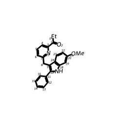 CCC(=O)c1cccc(Cc2c(-c3ccccc3)[nH]c3cc(OC)ccc23)n1